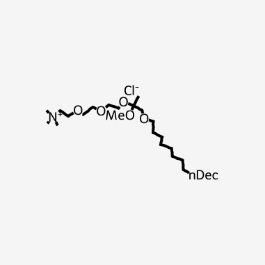 CCCCCCCCCCCCCCCCCCOCC(C)(OC)OCCOCCOCC[N+](C)(C)C.[Cl-]